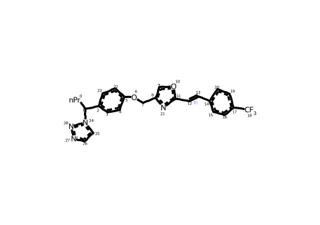 CCCC(c1ccc(OCc2coc(/C=C/c3ccc(C(F)(F)F)cc3)n2)cc1)n1ccnn1